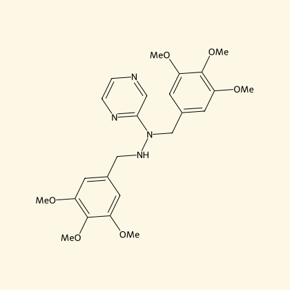 COc1cc(CNN(Cc2cc(OC)c(OC)c(OC)c2)c2cnccn2)cc(OC)c1OC